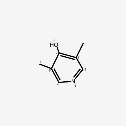 Cc1[c]ncc(C)c1O